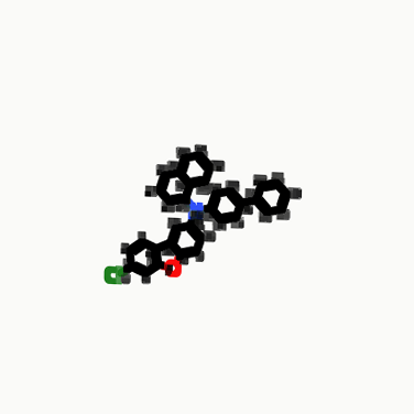 Clc1ccc2c(c1)oc1ccc(N(c3ccc(-c4ccccc4)cc3)c3cccc4ccccc34)cc12